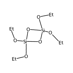 CCO[Si]1(OCC)O[Si](OCC)(OCC)O1